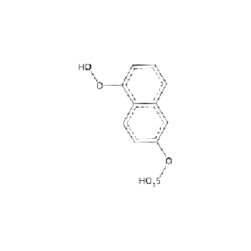 O=S(=O)(O)Oc1ccc2c(OO)cccc2c1